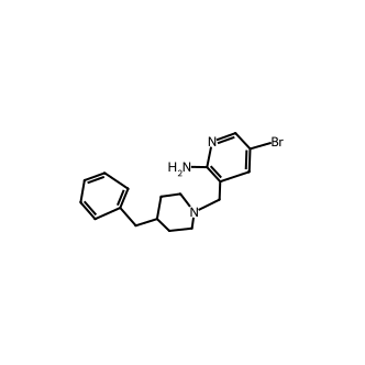 Nc1ncc(Br)cc1CN1CCC(Cc2ccccc2)CC1